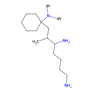 CC(CC1(N(C(C)C)C(C)C)CCCCC1)C(N)CCCCN